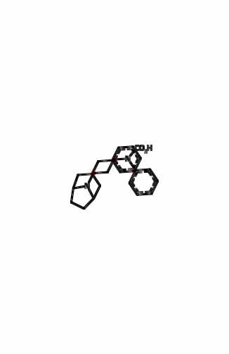 O=C(O)N(CCCN1C2CCC1CC(Cc1ccccc1)C2)c1ccccc1